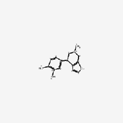 CN1Cc2occc2C(c2ccc(O)c(O)c2)C1